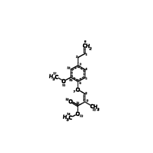 C=CCc1ccc(OC=C(C)C(=O)OC)c(OC)c1